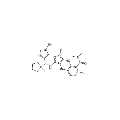 CC(C)c1coc([C@H](Nc2n[s+]([O-])nc2Nc2ccc(C(F)(F)F)c(C(=O)N(C)C)c2O)C2(C)CCCC2)c1